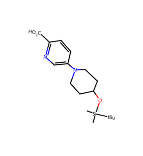 CC(C)(C)[Si](C)(C)OC1CCN(c2ccc(C(=O)O)nc2)CC1